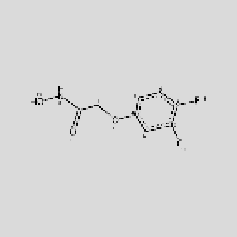 O=C(COc1ccc(F)c(Cl)c1)NO